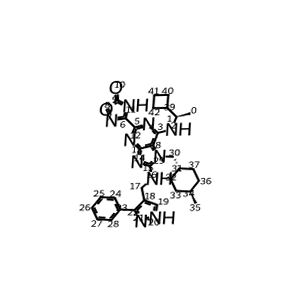 C[C@@H](Nc1nc(-c2noc(=O)[nH]2)nc2nc(NCc3c[nH]nc3-c3ccccc3)n(C[C@H]3CC[C@H](C)CC3)c12)C1CCC1